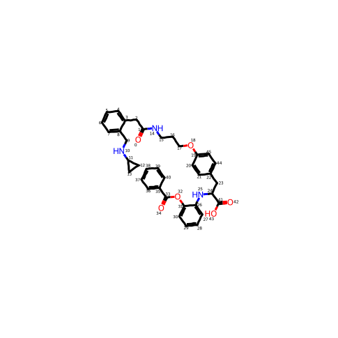 O=C(Cc1ccccc1CNC1CC1)NCCCOc1ccc(CC(Nc2ccccc2OC(=O)c2ccccc2)C(=O)O)cc1